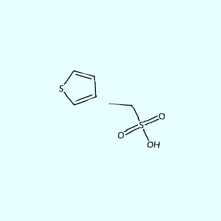 CCS(=O)(=O)O.c1ccsc1